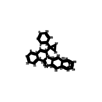 c1ccc(C2(c3cc4ccccc4c4nc5cc6c7ccc(o7)c6cc5n34)CC2)cc1